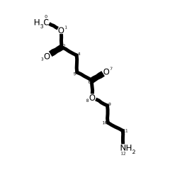 COC(=O)CCC(=O)OCCCN